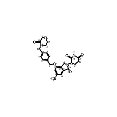 Bc1cc(OCc2ccc(CN3CCOCC3=O)cc2)c2c(c1)C(=O)N(C1CCC(=O)NC1=O)C2